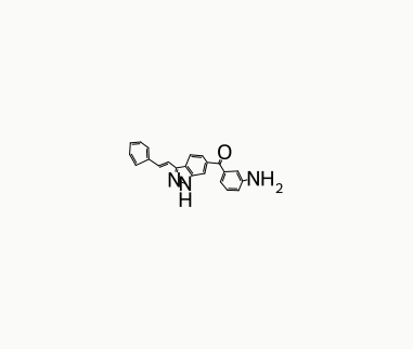 Nc1cccc(C(=O)c2ccc3c(/C=C/c4ccccc4)n[nH]c3c2)c1